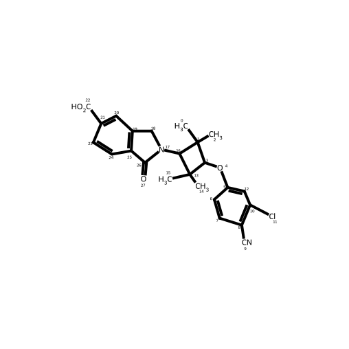 CC1(C)C(Oc2ccc(C#N)c(Cl)c2)C(C)(C)C1N1Cc2cc(C(=O)O)ccc2C1=O